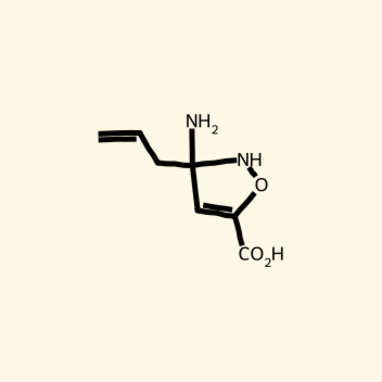 C=CCC1(N)C=C(C(=O)O)ON1